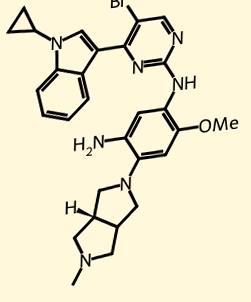 COc1cc(N2CC3CN(C)C[C@@H]3C2)c(N)cc1Nc1ncc(Br)c(-c2cn(C3CC3)c3ccccc23)n1